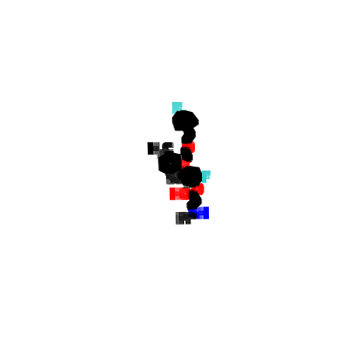 CC(C)NCCC(O)Oc1ccc(OCCOCCc2ccc(F)cc2)cc1F.Cc1ccc(S(=O)(=O)O)cc1